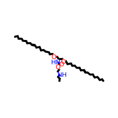 CCCCCCCCC=CCCCCCCCCOCC(COCCCCCCCCC=CCCCCCCCC)NC(=O)OCCNCCC